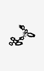 c1ccc(-c2c3ccccc3c(-c3ccc(-c4nc5c(-c6ccccc6)ccc(-c6ccccc6)c5o4)cc3)c3ccccc23)cc1